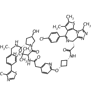 Cc1ncsc1-c1ccc([C@H](C)NC(=O)[C@@H]2C[C@@H](O)CN2C(=O)C(NC(=O)Cc2ccc(O[C@H]3C[C@@H](NC(=O)C[C@@H]4N=C(c5ccc(Cl)cc5)c5c(sc(C)c5C)-n5c(C)nnc54)C3)nc2)C(C)(C)C)cc1